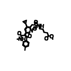 CNC(=O)c1c(-c2ccc(C)cc2)oc2nc(CS(=O)(=O)NCCCCC(=O)OC)c(C3CC3)cc12